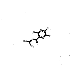 CCc1nc(C(=O)/N=C(\N)S)c(N)nc1N